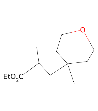 CCOC(=O)C(C)CC1(C)CCOCC1